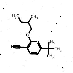 CCC(C)COc1cc(C(C)(C)C)ccc1C#N